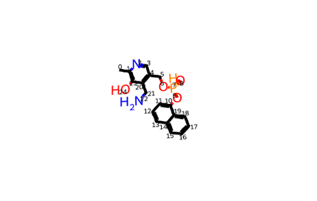 Cc1ncc(CO[PH](=O)Oc2cccc3ccccc23)c(CN)c1O